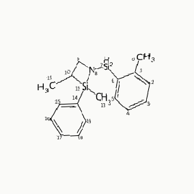 Cc1ccccc1[SiH2]N1CC(C)[Si]1(C)c1ccccc1